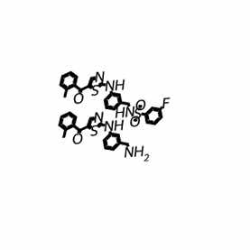 Cc1ccccc1C(=O)c1cnc(Nc2cccc(CN)c2)s1.Cc1ccccc1C(=O)c1cnc(Nc2cccc(CNS(=O)(=O)c3cccc(F)c3)c2)s1